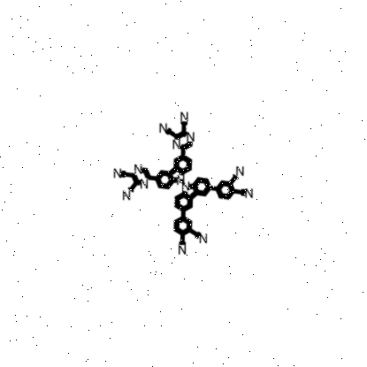 N#Cc1ccc(-c2ccc3c(c2)c2cc(-c4ccc(C#N)c(C#N)c4)ccc2n3-n2c3ccc(-c4cnc(C#N)c(C#N)n4)cc3c3cc(-c4cnc(C#N)c(C#N)n4)ccc32)cc1C#N